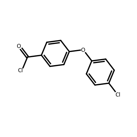 O=C(Cl)c1ccc(Oc2ccc(Cl)cc2)cc1